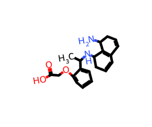 CC(NC1CC=CC2=C1C(N)CC=C2)c1ccccc1OCC(=O)O